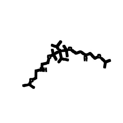 CC(C)OCCNCCOC(C)(C)S(C(C)C)(C(C)C)C(C)(C)OCCNCCOC(C)C